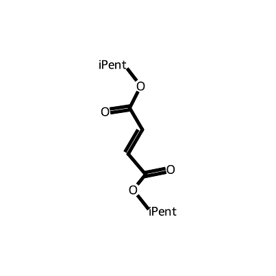 CCCC(C)OC(=O)/C=C/C(=O)OC(C)CCC